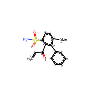 C=CC(=O)c1c(S(N)(=O)=O)ccc(OC)c1-c1ccccc1